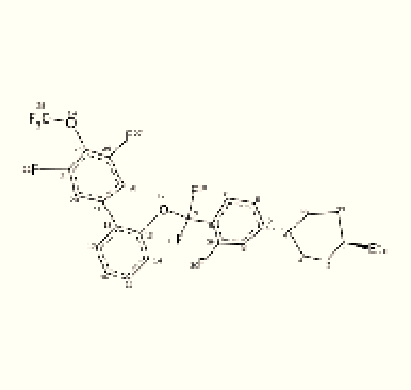 CC[C@H]1CC[C@H](c2ccc(C(F)(F)Oc3ccccc3-c3cc(F)c(OC(F)(F)F)c(F)c3)c(F)c2)CC1